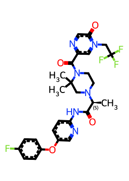 C[C@@H](C(=O)Nc1ccc(Oc2ccc(F)cc2)cn1)N1CCN(C(=O)c2cn(CC(F)(F)F)c(=O)cn2)C(C)(C)C1